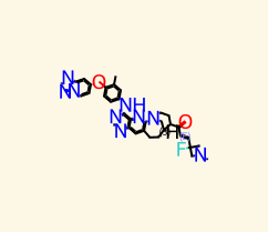 Cc1cc(Nc2ncnc3cc4c(nc23)N2CCC(C(=O)/C=C/C3(F)CN(C)C3)[C@H](CC4)C2)ccc1Oc1ccn2ncnc2c1